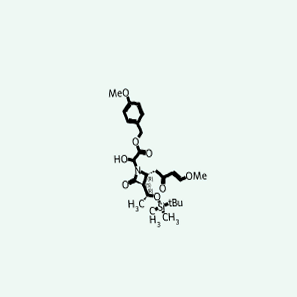 COC=CC(=O)C[C@@H]1[C@@H]([C@@H](C)O[Si](C)(C)C(C)(C)C)C(=O)N1C(O)C(=O)OCc1ccc(OC)cc1